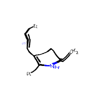 C=C1CC(/C=C\CC)=C(CC)N1